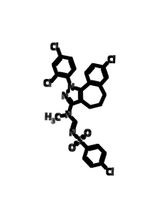 CN(C=NS(=O)(=O)c1ccc(Cl)cc1)c1nn(-c2ccc(Cl)cc2Cl)c2c1CCCc1cc(Cl)ccc1-2